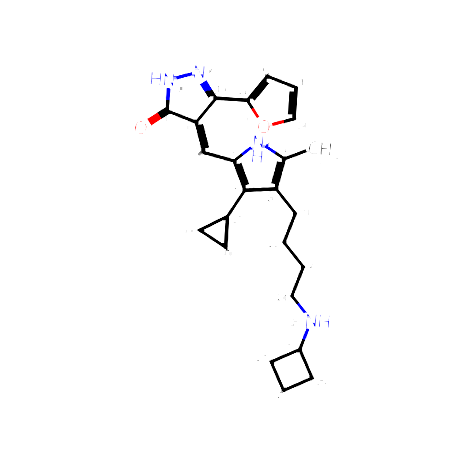 Cc1[nH]c(/C=C2/C(=O)NN=C2c2ccco2)c(C2CC2)c1CCCCNC1CCC1